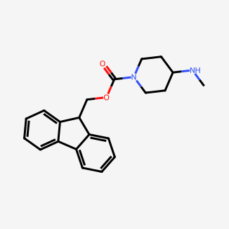 CNC1CCN(C(=O)OCC2c3ccccc3-c3ccccc32)CC1